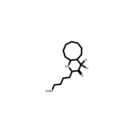 CCC1(CC)C(=O)C(CCCCNC(C)=O)NC2CCCCCCCC21